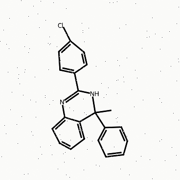 CC1(c2ccccc2)NC(c2ccc(Cl)cc2)=Nc2ccccc21